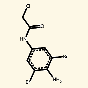 Nc1c(Br)cc(NC(=O)CCl)cc1Br